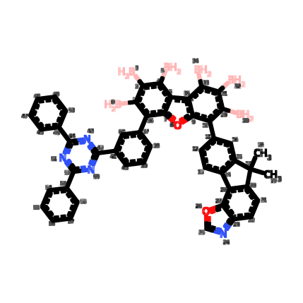 Bc1c(B)c(B)c2c(oc3c(-c4ccc5c(c4)C(C)(C)c4ccc6ncoc6c4-5)c(B)c(B)c(B)c32)c1-c1cccc(-c2nc(-c3ccccc3)nc(-c3ccccc3)n2)c1